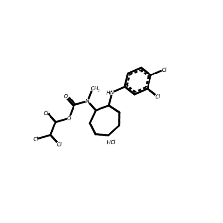 CN(C(=O)OC(Cl)C(Cl)Cl)C1CCCCCC1Nc1ccc(Cl)c(Cl)c1.Cl